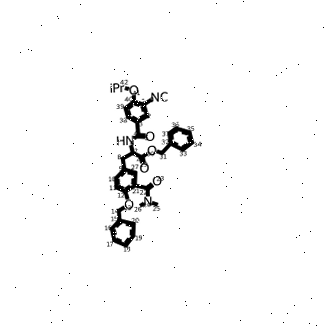 [C-]#[N+]c1cc(C(=O)NC(Cc2ccc(OCc3ccccc3)c(C(=O)N(C)C)c2)C(=O)OCc2ccccc2)ccc1OC(C)C